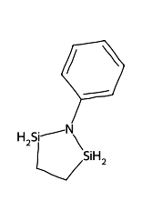 c1ccc(N2[SiH2]CC[SiH2]2)cc1